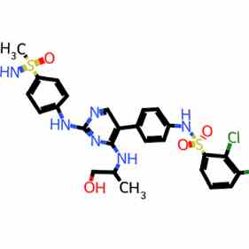 CC(CO)Nc1nc(Nc2ccc(S(C)(=N)=O)cc2)ncc1-c1ccc(NS(=O)(=O)c2cccc(Cl)c2Cl)cc1